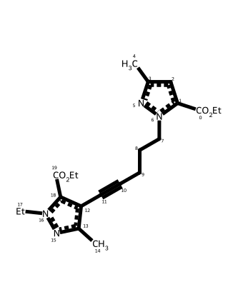 CCOC(=O)c1cc(C)nn1CCCC#Cc1c(C)nn(CC)c1C(=O)OCC